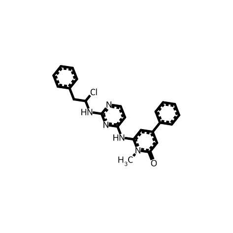 Cn1c(Nc2ccnc(NC(Cl)Cc3ccccc3)n2)cc(-c2ccccc2)cc1=O